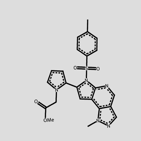 COC(=O)Cn1cccc1-c1cc2c3c(cnc2n1S(=O)(=O)c1ccc(C)cc1)cnn3C